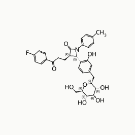 Cc1ccc(N2C(=O)[C@H](CCC(=O)c3ccc(F)cc3)[C@H]2c2ccc(C[C@@H]3O[C@H](CO)[C@@H](O)[C@H](O)[C@H]3O)cc2O)cc1